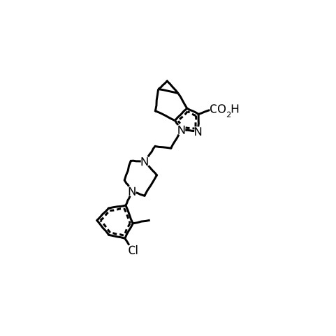 Cc1c(Cl)cccc1N1CCN(CCn2nc(C(=O)O)c3c2CC2CC32)CC1